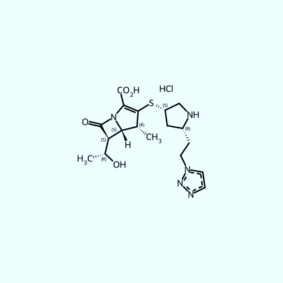 C[C@@H](O)[C@H]1C(=O)N2C(C(=O)O)=C(S[C@@H]3CN[C@H](CCn4ccnn4)C3)[C@H](C)[C@H]12.Cl